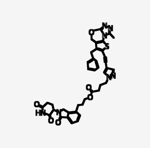 Cc1nnc2n1-c1sc(C#Cc3cnn(CCCC(=O)OCCCc4cccc5c4CN(C4CCC(=O)NC4=O)C5=O)c3)c(Cc3ccccc3)c1COC2